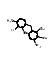 CCC(C)c1c(N)ccc(Cc2ccc(N)c(C(C)CC)c2C(C)CC)c1C(C)CC